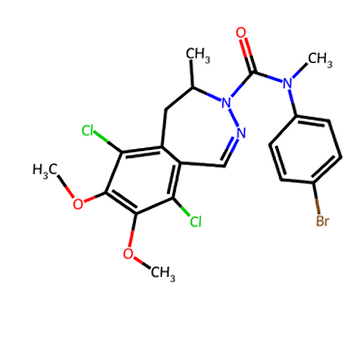 COc1c(Cl)c2c(c(Cl)c1OC)CC(C)N(C(=O)N(C)c1ccc(Br)cc1)N=C2